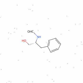 O=CN[C@@H](CO)Cc1ccccc1